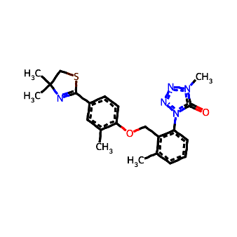 Cc1cc(C2=NC(C)(C)CS2)ccc1OCc1c(C)cccc1-n1nnn(C)c1=O